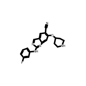 N#Cc1cc2cnc(Nc3cccc(F)c3)nc2cc1OC1CCNCC1